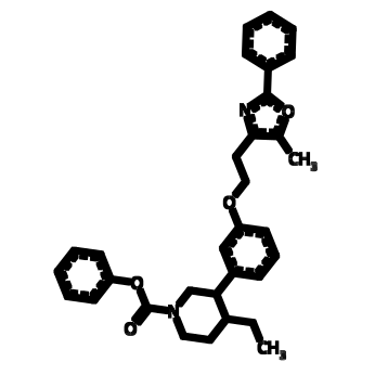 CCC1CCN(C(=O)Oc2ccccc2)CC1c1cccc(OCCc2nc(-c3ccccc3)oc2C)c1